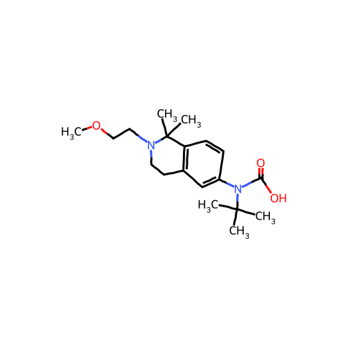 COCCN1CCc2cc(N(C(=O)O)C(C)(C)C)ccc2C1(C)C